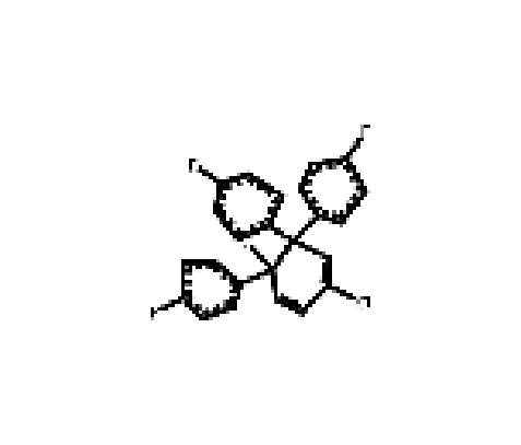 [CH2]C1(c2ccc(F)cc2)C=CC(Cl)=CC1(c1ccc(F)cc1)c1ccc(F)cc1